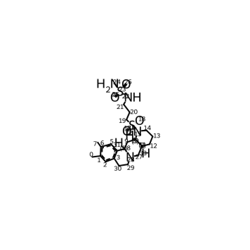 Cc1cc2c(cc1C)[C@@H]1C[C@H]3[C@H](CCCN3S(=O)(=O)CCCNS(N)(=O)=O)CN1CC2